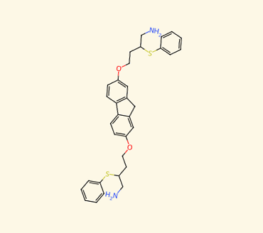 NCC(CCOc1ccc2c(c1)Cc1cc(OCCC(CN)Sc3ccccc3)ccc1-2)Sc1ccccc1